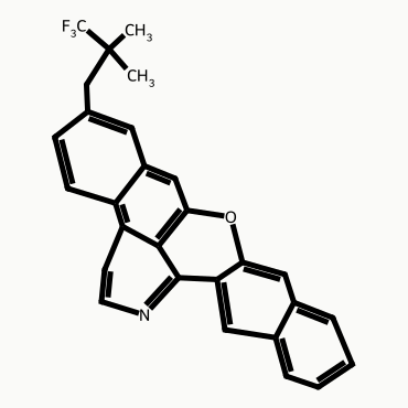 CC(C)(Cc1ccc2c(c1)cc1c3c(nccc32)-c2cc3ccccc3cc2O1)C(F)(F)F